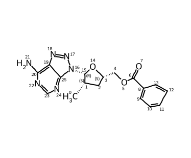 C[C@H]1C[C@@H](COC(=O)c2ccccc2)O[C@H]1n1nnc2c(N)ncnc21